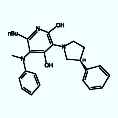 CCCCc1nc(O)c(N2CC[C@@H](c3ccccc3)C2)c(O)c1N(C)c1ccccc1